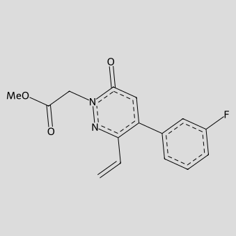 C=Cc1nn(CC(=O)OC)c(=O)cc1-c1cccc(F)c1